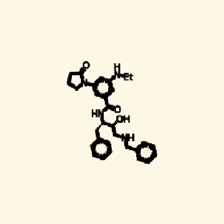 CCNc1cc(C(=O)N[C@@H](Cc2ccccc2)[C@@H](O)CNCc2ccccc2)cc(N2CCCC2=O)c1